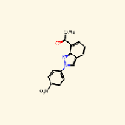 COC(=O)c1cccc2cn(-c3ccc([N+](=O)[O-])cc3)nc12